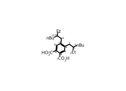 CCCCC(CC)Cc1cc(C(=O)O)c(C(=O)O)cc1CC(CC)CCCC